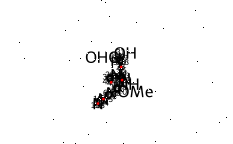 COc1cc(N2CCC(N3CCN(C)CC3)CC2)ccc1Nc1ncc(C#Cc2ccc(O)c(C=O)c2)c(Nc2ccccc2)n1